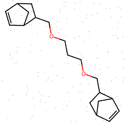 C1=CC2CC1CC2COCCCOCC1CC2C=CC1C2